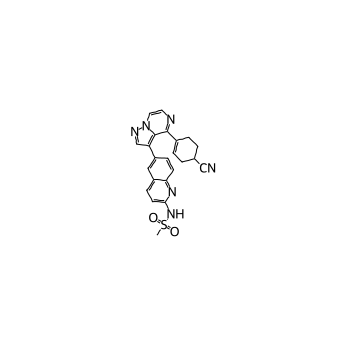 CS(=O)(=O)Nc1ccc2cc(-c3cnn4ccnc(C5=CCC(C#N)CC5)c34)ccc2n1